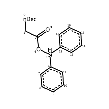 CCCCCCCCCCCC(=O)O[SiH](c1ccccc1)c1ccccc1